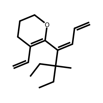 C=C/C=C(\C1=C(C=C)CCCO1)C(C)(CC)CC